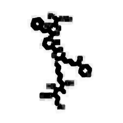 CNC(C(=O)NC(Cc1ccccc1)C(=O)N1CCCC(C(=O)O[C@@H](C/C=C/C=C/[C@H](O)C(C)C(O)C(C=O)CCC(C)=O)/C(C)=C/C=C/C(=O)N2CCOCC2)N1)C(C)C